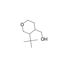 CC(C)(C)C1COCCC1CO